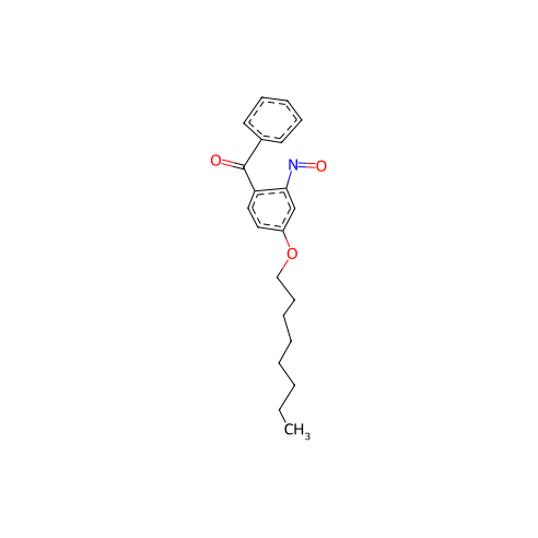 CCCCCCCCOc1ccc(C(=O)c2ccccc2)c(N=O)c1